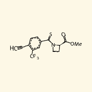 C#Cc1ccc(C(=S)N2CC[C@@H]2C(=O)OC)cc1C(F)(F)F